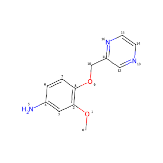 COc1cc(N)ccc1OCc1cnccn1